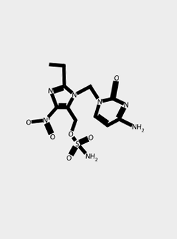 CCc1nc([N+](=O)[O-])c(COS(N)(=O)=O)n1Cn1ccc(N)nc1=O